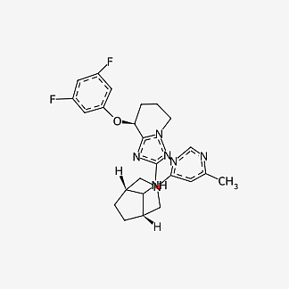 Cc1cc(N2C[C@H]3CC[C@@H](C2)C3Nc2nc3n(n2)CCC[C@@H]3Oc2cc(F)cc(F)c2)ncn1